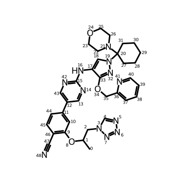 CC(Cn1cnnn1)Oc1cc(-c2cnc(Nc3cn(C4(N5CCOCC5)CCCCC4)nc3OCc3ccccn3)nc2)ccc1C#N